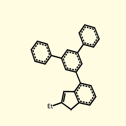 CCC1=Cc2c(cccc2-c2cc(-c3ccccc3)cc(-c3ccccc3)c2)[CH]1